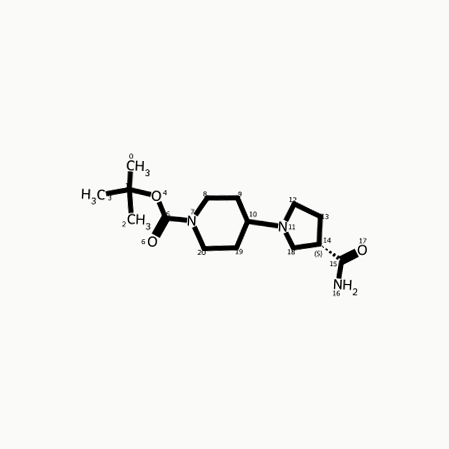 CC(C)(C)OC(=O)N1CCC(N2CC[C@H](C(N)=O)C2)CC1